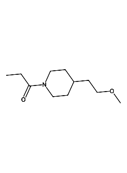 CCC(=O)N1CCC(CCOC)CC1